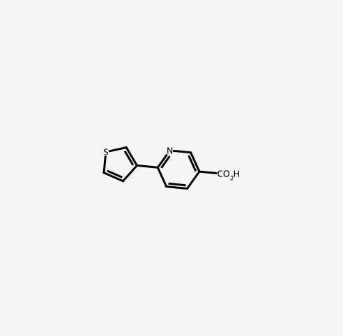 O=C(O)c1ccc(-c2ccsc2)nc1